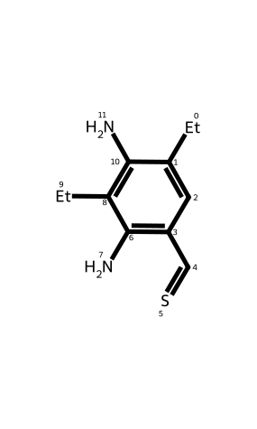 CCc1cc(C=S)c(N)c(CC)c1N